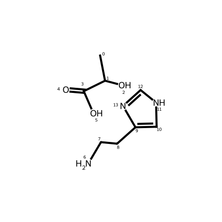 CC(O)C(=O)O.NCCc1c[nH]cn1